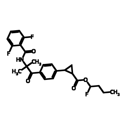 CCCC(F)OC(=O)C1CC1c1ccc(C(=O)C(C)(C)NC(=O)c2c(F)cccc2F)cc1